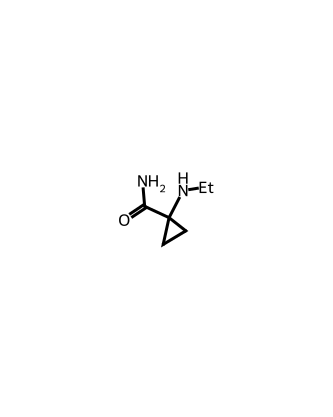 CCNC1(C(N)=O)CC1